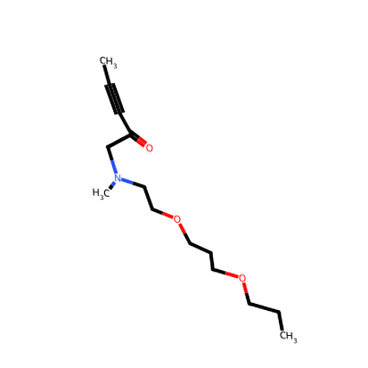 CC#CC(=O)CN(C)CCOCCCOCCC